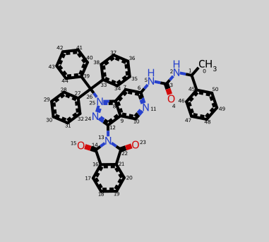 CC(NC(=O)Nc1cc2c(cn1)c(N1C(=O)c3ccccc3C1=O)nn2C(c1ccccc1)(c1ccccc1)c1ccccc1)c1ccccc1